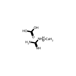 N=C(N)N.O.O=C(O)O.[CaH2]